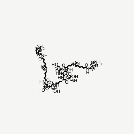 NS(=O)(=O)c1nnc(NC(=O)CCCc2cn(CCCCC(=O)N[C@@H](CC(=O)O)C(=O)N[C@@H](CC(=O)O)C(=O)NCCCC[C@H](NC(=O)[C@H](CC(=O)O)NC(=O)[C@H](CC(=O)O)NC(=O)CCCCn3cc(CCCC(=O)Nc4nnc(S(N)(=O)=O)s4)nn3)C(=O)N[C@@H](CS)C(=O)O)nn2)s1